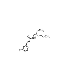 CCCCC(CC)CNC(=O)C=Cc1cccc(F)c1